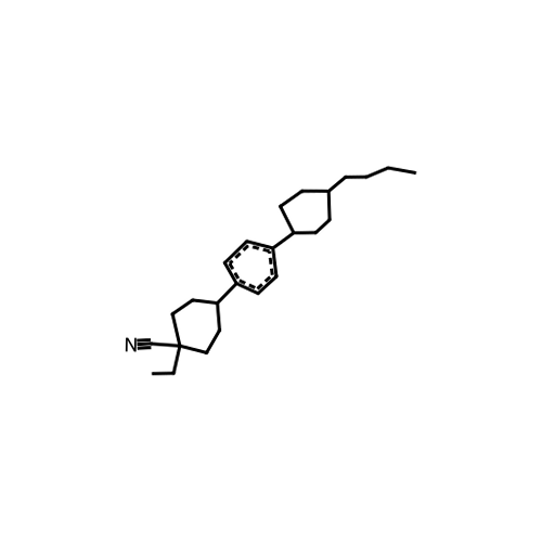 CCCCC1CCC(c2ccc(C3CCC(C#N)(CC)CC3)cc2)CC1